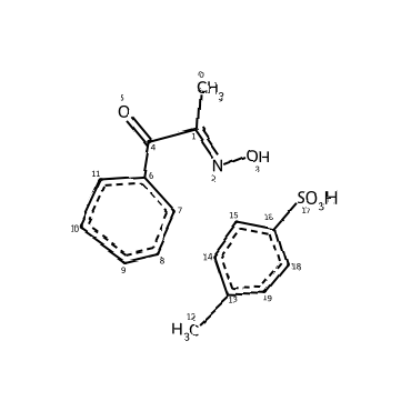 CC(=NO)C(=O)c1ccccc1.Cc1ccc(S(=O)(=O)O)cc1